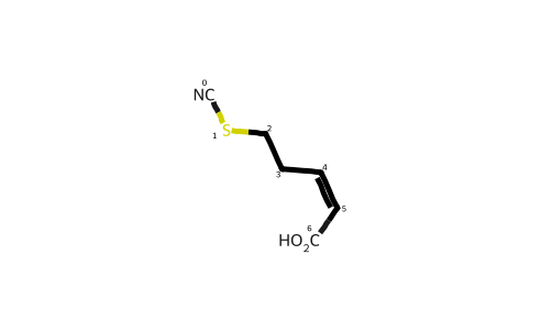 N#CSCC/C=C\C(=O)O